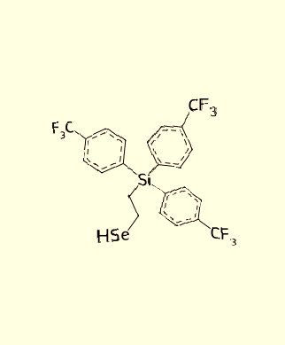 FC(F)(F)c1ccc([Si](CC[SeH])(c2ccc(C(F)(F)F)cc2)c2ccc(C(F)(F)F)cc2)cc1